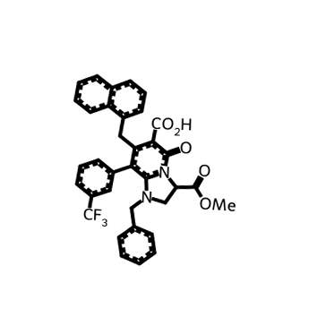 COC(=O)C1CN(Cc2ccccc2)c2c(-c3cccc(C(F)(F)F)c3)c(Cc3cccc4ccccc34)c(C(=O)O)c(=O)n21